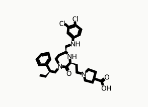 CC[C@H](CN1CC[C@@H](CNc2ccc(Cl)c(Cl)c2)N[C@@H](CCN2CCC(C(=O)O)CC2)C1=O)c1ccccc1